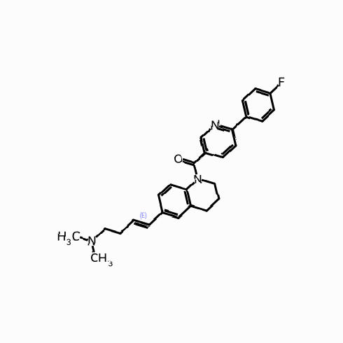 CN(C)CC/C=C/c1ccc2c(c1)CCCN2C(=O)c1ccc(-c2ccc(F)cc2)nc1